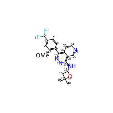 COc1cc(C(F)F)ccc1-c1nnc(NC2CC(C)(C)O2)c2cnccc12